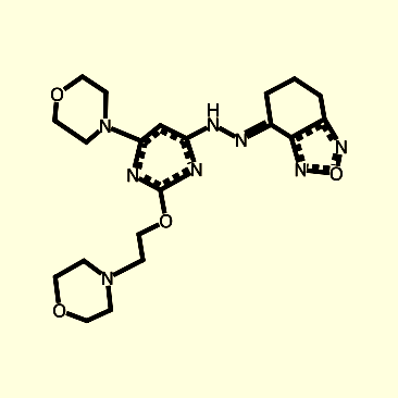 c1c(N/N=C2\CCCc3nonc32)nc(OCCN2CCOCC2)nc1N1CCOCC1